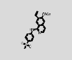 C=Cc1cc2c(Nc3ccc(S(C)(=O)=O)cc3)nccc2cc1OC